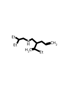 C=CCC(CNCC(CC)CC)C(=C)CC